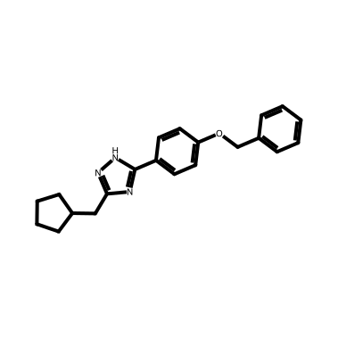 c1ccc(COc2ccc(-c3nc(CC4CCCC4)n[nH]3)cc2)cc1